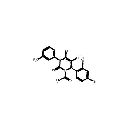 CC1=C(C(=O)O)[C@@H](c2ccc(C#N)cc2Br)N(C(N)=O)C(=N)N1c1cccc(C(F)(F)F)c1